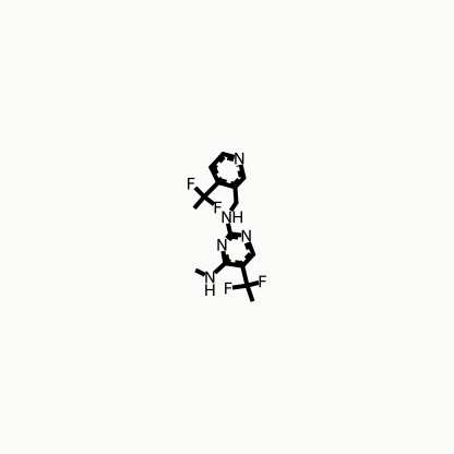 CNc1nc(NCc2cnccc2C(C)(F)F)ncc1C(C)(F)F